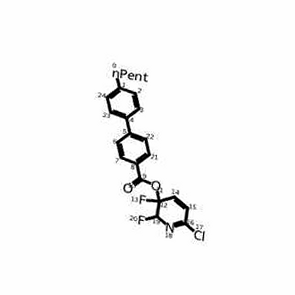 CCCCCc1ccc(-c2ccc(C(=O)OC3(F)C=CC(Cl)=NC3F)cc2)cc1